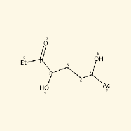 CCC(=O)C(O)CCC(O)C(C)=O